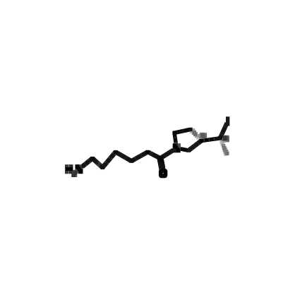 C[C@@H](I)[C@H]1CCN(C(=O)CCCCCN)C1